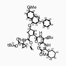 C=C[C@@H]1C[C@]1(NC(=O)C1CC(Oc2cc(-c3ccccc3)nc3cc(OC)ccc23)C=C1C(=O)N[C@H](C(=O)N[C@H](C(=O)OC)C1CCCCC1)C(C)(C)C)C(=O)OC(C)(C)C